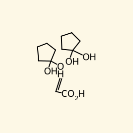 C=CC(=O)O.OC1(O)CCCC1.OC1(O)CCCC1